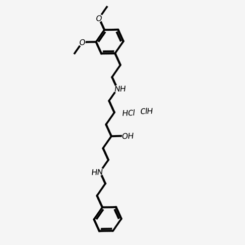 COc1ccc(CCNCCCC(O)CCNCCc2ccccc2)cc1OC.Cl.Cl